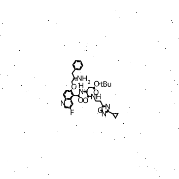 CC(C)(C)OC(=O)C[C@H](NC(=O)c1c(OC[C@H](N)Cc2ccccc2)ccc2ncc(F)cc12)C(=O)NCCc1nc(C2CC2)no1